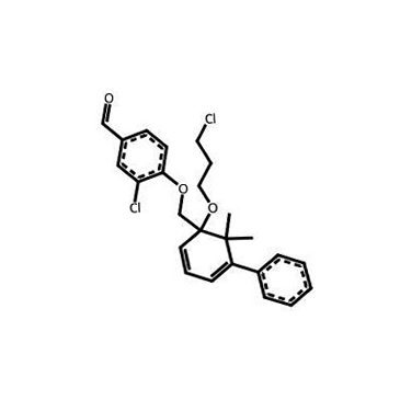 CC1(C)C(c2ccccc2)=CC=CC1(COc1ccc(C=O)cc1Cl)OCCCCl